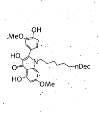 CCCCCCCCCCCCCCCCn1c(-c2ccc(O)c(OC)c2)c(O)c(=O)c2c(O)cc(OC)cc21